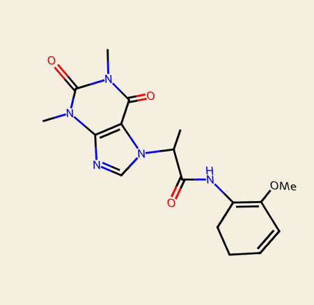 COC1=C(NC(=O)C(C)n2cnc3c2c(=O)n(C)c(=O)n3C)CCC=C1